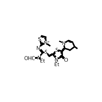 CCN(C=O)/C(=N/c1scc[n+]1C)S/C=c1\s/c(=C2/CC(C)C=CN2C)c(=O)n1CC